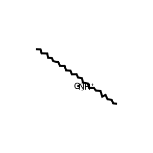 CCCCCCCCCCCCCCCCC(CCCCCCCCCCC)[NH+](C)[O-]